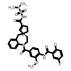 COc1cc(C(=O)N2CC[C@]3(C=C(C(=O)NS(=O)(=O)N(C)C)CC3)Cc3ccccc32)ccc1NC(=O)c1cc(F)ccc1Cl